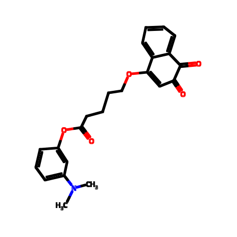 CN(C)c1cccc(OC(=O)CCCCOC2=CC(=O)C(=O)c3ccccc32)c1